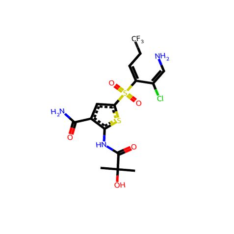 CC(C)(O)C(=O)Nc1sc(S(=O)(=O)C(=C/CC(F)(F)F)/C(Cl)=C\N)cc1C(N)=O